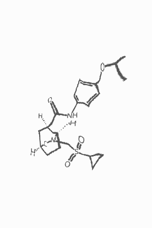 CC(C)Oc1ccc(NC(=O)[C@@H]2C[C@@H]3CC[C@H]2N(S(=O)(=O)C2CC2)C3)cc1